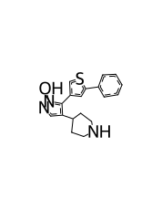 On1ncc(C2CCNCC2)c1-c1csc(-c2ccccc2)c1